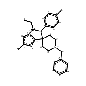 CCC(=O)N(c1ccc(C)cc1)C1(c2nc(C)cs2)CCN(Cc2ccccc2)CC1